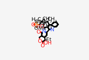 CC[C@@]1(O)C(=O)OCc2c1cc1n(c2=O)C(O)c2c-1nc1ccccc1c2C(C)[Si](C)(C)C(C)CP(=O)(OC)OC